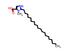 CCCCCCCCCCCCCCCCCCCCc1[nH]cc(C(=O)O)[n+]1C